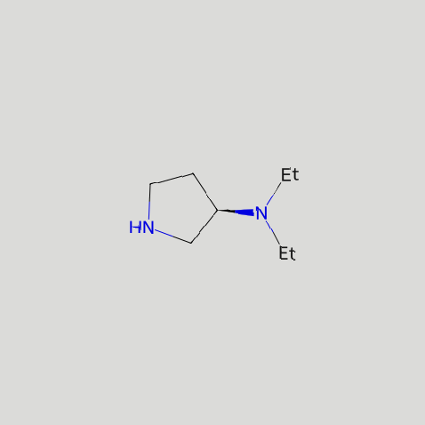 CCN(CC)[C@@H]1CCNC1